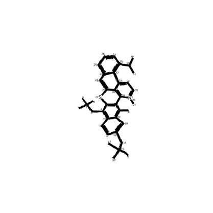 Cc1c2c(c(CC(C)(C)C)c3ccc(CC(C)(C)C)cc13)Sc1cc3cccc(C(C)C)c3c3cc[n+](C)c-2c13